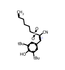 C=CCCCCS(=O)(=O)/C(C#N)=C\c1cc(C(C)(C)C)c(O)c(C(C)(C)C)c1